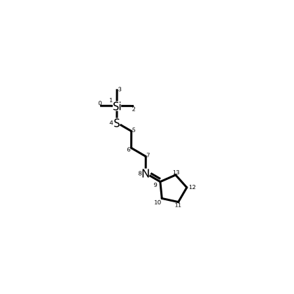 C[Si](C)(C)SCCCN=C1CCCC1